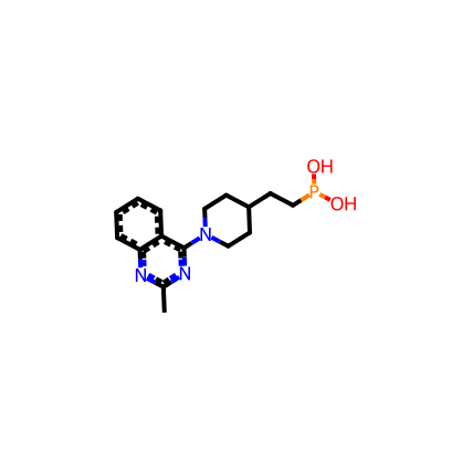 Cc1nc(N2CCC(CCP(O)O)CC2)c2ccccc2n1